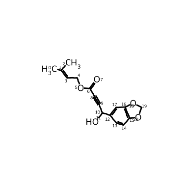 CC(C)=CCOC(=O)C#CC(O)c1ccc2c(c1)OCO2